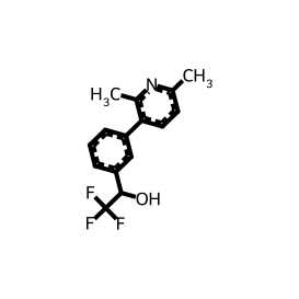 Cc1ccc(-c2cccc(C(O)C(F)(F)F)c2)c(C)n1